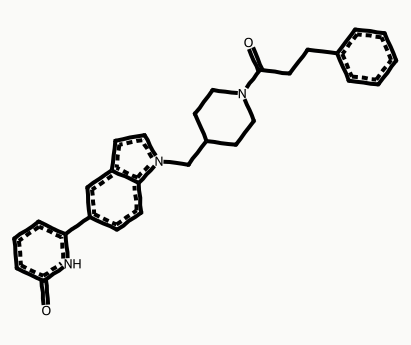 O=C(CCc1ccccc1)N1CCC(Cn2ccc3cc(-c4cccc(=O)[nH]4)ccc32)CC1